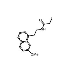 COc1ccc2cccc(CCNC(=O)CI)c2c1